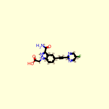 NC(=O)c1nn(CC(=O)O)c2ccc(C#Cc3ncc(F)cn3)cc12